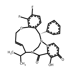 CC(C)C1/C=C/COc2c(ccc(F)c2F)[C@H](c2ccccc2)N2CN1C(=O)c1c(O)c(=O)ccn12